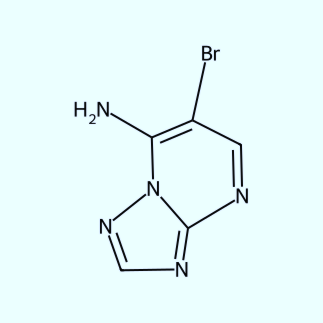 Nc1c(Br)cnc2ncnn12